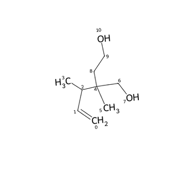 C=CC(C)C(C)(CO)CCO